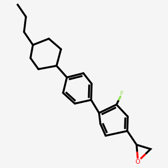 CCCC1CCC(c2ccc(-c3ccc(C4CO4)cc3F)cc2)CC1